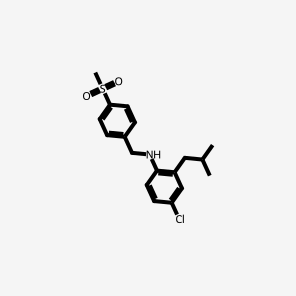 CC(C)Cc1cc(Cl)ccc1NCc1ccc(S(C)(=O)=O)cc1